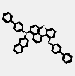 c1ccc(-c2ccc(Nc3cccc4c3-c3cccc5c(N(c6ccc(-c7ccccc7)cc6)c6ccc7ccccc7c6)ccc(c35)O4)cc2)cc1